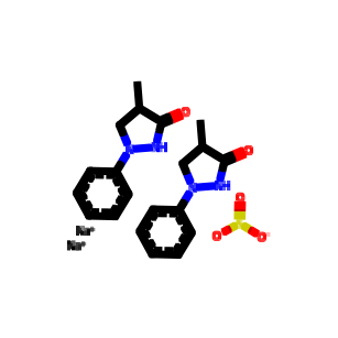 CC1CN(c2ccccc2)NC1=O.CC1CN(c2ccccc2)NC1=O.O=S([O-])[O-].[Na+].[Na+]